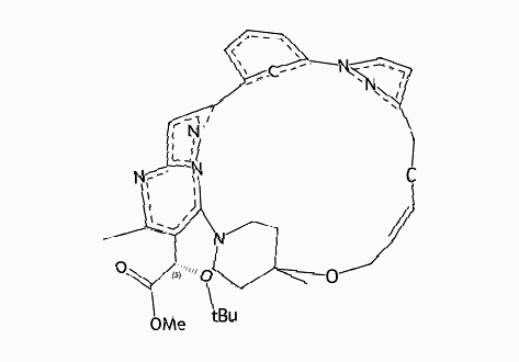 COC(=O)[C@@H](OC(C)(C)C)c1c(C)nc2cc3nn2c1N1CCC(C)(CC1)OCC=CCCc1ccn(n1)-c1cccc-3c1